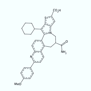 COc1ccc(-c2ccc3c4c(ccc3n2)-c2c(C3CCCCC3)c3sc(C(=O)O)cc3n2CC(C(N)=O)C4)cc1